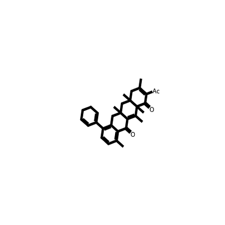 CC(=O)C1=C(C)CC2(C)CC3(C)Cc4c(C5=CCCC=C5)ccc(C)c4C(=O)C3=C(C)C2(C)C1=O